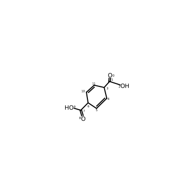 O=C(O)C1C=CC(C(=O)O)C=C1